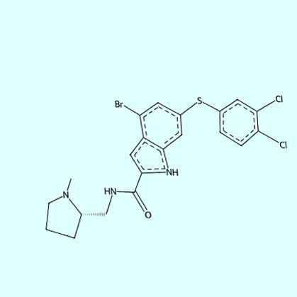 CN1CCC[C@H]1CNC(=O)c1cc2c(Br)cc(Sc3ccc(Cl)c(Cl)c3)cc2[nH]1